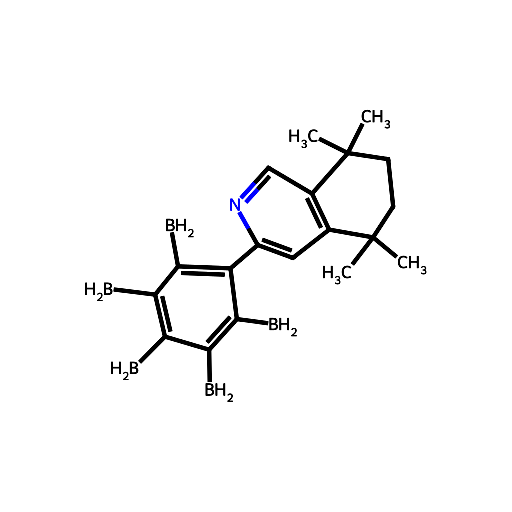 Bc1c(B)c(B)c(-c2cc3c(cn2)C(C)(C)CCC3(C)C)c(B)c1B